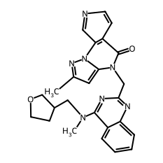 Cc1cc2n(Cc3nc(N(C)CC4CCOC4)c4ccccc4n3)c(=O)c3ccncc3n2n1